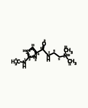 CNc1nc(C(=O)NCCN(C)C)cs1